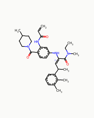 C=CC(=O)Nc1cc(N/C(=C/C(C)c2cccc(C)c2C)C(=O)N(C)CC)ccc1C(=O)N1CCC(C)CC1